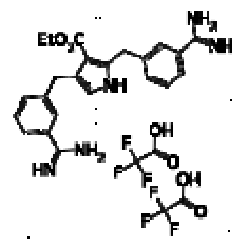 CCOC(=O)c1c(Cc2cccc(C(=N)N)c2)c[nH]c1Cc1cccc(C(=N)N)c1.O=C(O)C(F)(F)F.O=C(O)C(F)(F)F